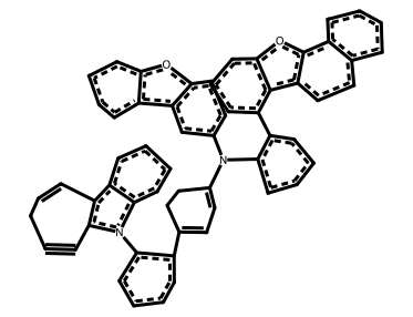 C1#Cc2c(c3ccccc3n2-c2ccccc2C2=CC=C(N(c3ccc4oc5ccccc5c4c3)c3ccccc3-c3cccc4oc5c6ccccc6ccc5c34)CC2)C=CC1